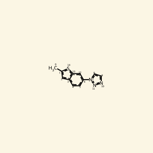 Cc1cc2ccc(-n3ccnn3)cc2s1